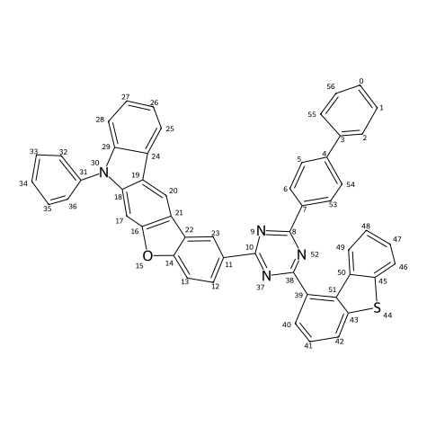 c1ccc(-c2ccc(-c3nc(-c4ccc5oc6cc7c(cc6c5c4)c4ccccc4n7-c4ccccc4)nc(-c4cccc5sc6ccccc6c45)n3)cc2)cc1